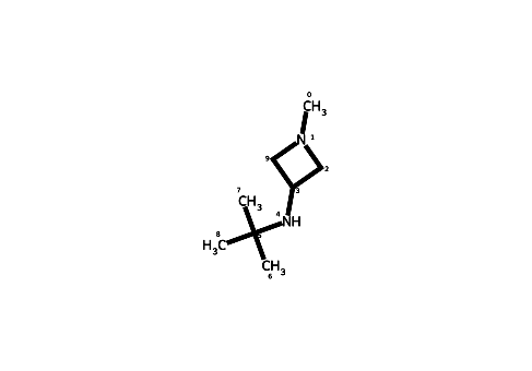 CN1CC(NC(C)(C)C)C1